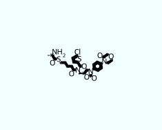 C[C@H](N)C(=O)SCCCCC(=O)N(C[C@H]1CN(c2ccc(N3CCOCC3=O)cc2)C(=O)O1)C(=O)c1ccc(Cl)s1